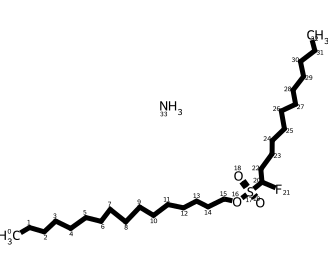 CCCCCCCCCCCCCCCCOS(=O)(=O)C(F)CCCCCCCCCCC.N